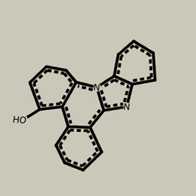 Oc1cccc2c1c1ccccc1c1nc3ccccc3n21